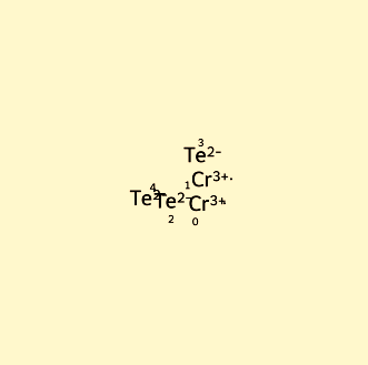 [Cr+3].[Cr+3].[Te-2].[Te-2].[Te-2]